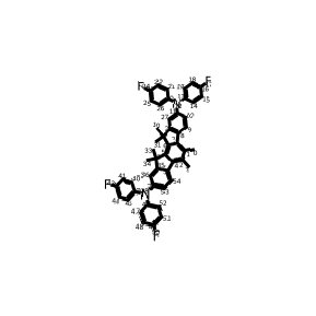 Cc1c(C)c2c(c3c1-c1ccc(N(c4ccc(F)cc4)c4ccc(F)cc4)cc1C3(C)C)C(C)(C)c1cc(N(c3ccc(F)cc3)c3ccc(F)cc3)ccc1-2